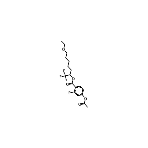 CCOCCCCCC(OC(=O)c1ccc(OC(C)=O)cc1F)C(F)(F)F